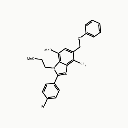 COCCn1c(-c2ccc(C(C)C)cc2)nc2c(C(F)(F)F)c(COc3ccccc3)cc(OC)c21